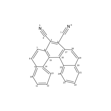 N#Cc1c(C#N)c2ccc3ccccc3c2c2c1ccc1ccccc12